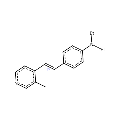 CCN(CC)c1ccc(/C=C/c2ccncc2C)cc1